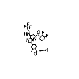 Cc1cc(-c2cnc3c(NCCC(F)(F)F)cc(C(=O)c4cccc(F)c4F)nn23)ccc1C(=O)C#CC1CC1